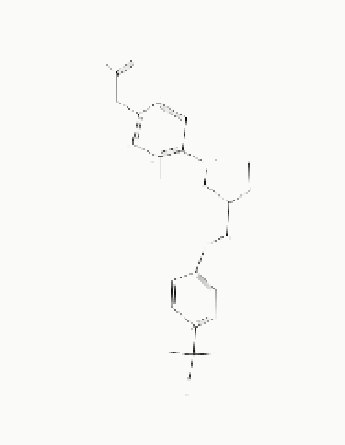 CCC(COc1ccc(C(F)(F)F)cc1)CSc1ccc(CC(=O)O)cc1Cl